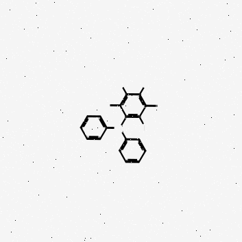 Fc1c(F)c(F)c([Se+](c2ccccc2)c2ccccc2)c(F)c1F